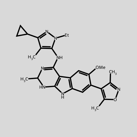 CCn1nc(C2CC2)c(C)c1NC1=NC(C)Nc2[nH]c3cc(-c4c(C)noc4C)c(OC)cc3c21